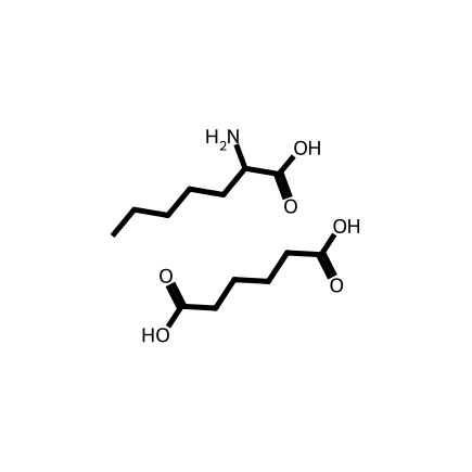 CCCCCC(N)C(=O)O.O=C(O)CCCCC(=O)O